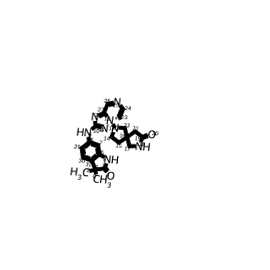 CC1(C)C(=O)Nc2cc(NC3=N[N+]4(N5CCC6(CNC(=O)C6)C5)C=CN=CC4=N3)ccc21